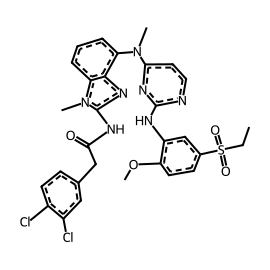 CCS(=O)(=O)c1ccc(OC)c(Nc2nccc(N(C)c3cccc4c3nc(NC(=O)Cc3ccc(Cl)c(Cl)c3)n4C)n2)c1